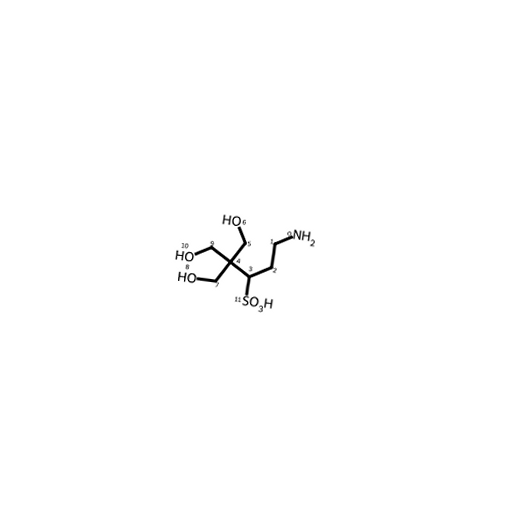 NCCC(C(CO)(CO)CO)S(=O)(=O)O